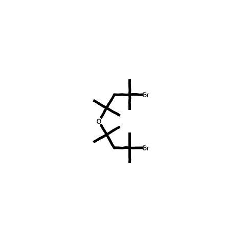 CC(C)(Br)CC(C)(C)OC(C)(C)CC(C)(C)Br